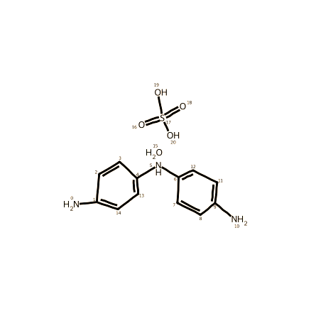 Nc1ccc(Nc2ccc(N)cc2)cc1.O.O=S(=O)(O)O